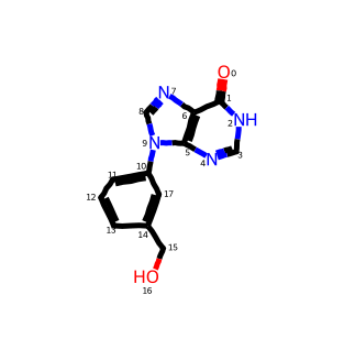 O=c1[nH]cnc2c1ncn2-c1cccc(CO)c1